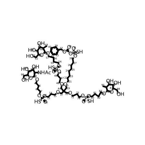 CC(=O)NC1[C@H](OCCCCOP(=O)(S)OCCCOCC(COCCCCCCCCOP(=O)(S)OC(=O)OCc2ccccc2)(COCCCOP(=O)(S)OCCCCO[C@@H]2OC(CO)[C@@H](O)[C@H](O)C2C)COCCCOP(=O)(S)OCCCCO[C@@H]2OC(CO)[C@@H](O)[C@H](O)C2C)OC(CO)[C@H](O)[C@@H]1O